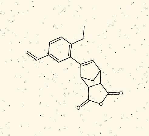 C=Cc1ccc(CC)c(C2=CC3CC2C2C(=O)OC(=O)C32)c1